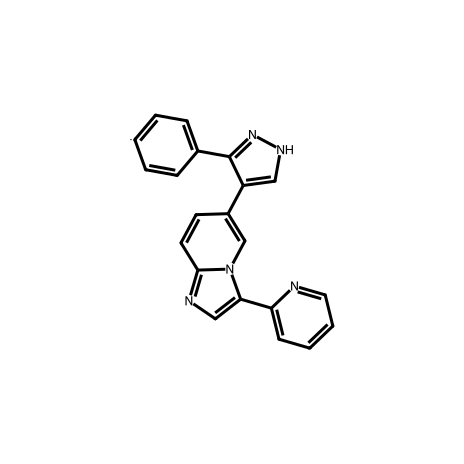 [c]1ccc(-c2n[nH]cc2-c2ccc3ncc(-c4ccccn4)n3c2)cc1